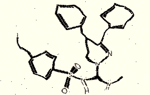 CNC(NS(=O)(=O)c1ccc(CI)cc1)N1CC(c2ccccc2)C(c2ccccc2)=N1